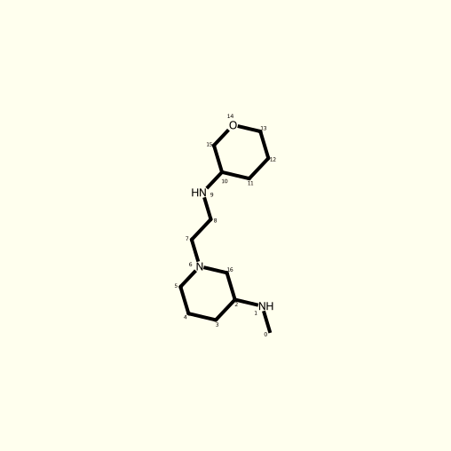 CNC1CCCN(CCNC2CCCOC2)C1